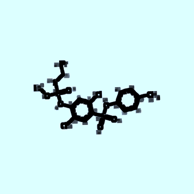 CCOP(=O)(Oc1cc(Cl)c(S(=O)(=O)Oc2ccc(C)cc2)cc1Cl)SCC(C)C